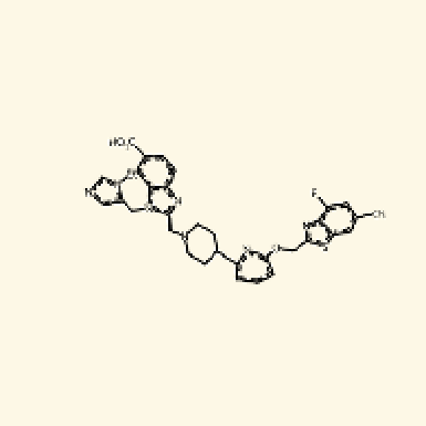 CCn1cncc1Cn1c(CN2CCC(c3cccc(OCc4nc5c(F)cc(C#N)cc5s4)n3)CC2)nc2ccc(C(=O)O)cc21